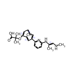 CN/C=C(\C)Nc1cccc(C2=C/C=C/C=C(OC(C)(C)C(=O)O)\C(C)=C\2)n1